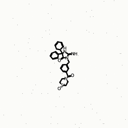 N=C1NC(c2ccccc2)(C2C=CC=CC2)C(=O)N1Cc1cccc(C(=O)N2CC[S+]([O-])CC2)c1